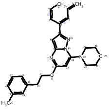 C=C/C=C(\C=C/C)c1cc2nc(OCCc3cccc(C)c3)cc(N3CCOCC3)n2n1